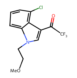 COCCn1cc(C(=O)C(F)(F)F)c2c(Cl)cccc21